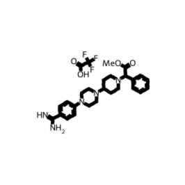 COC(=O)C(c1ccccc1)N1CCC(N2CCN(c3ccc(C(=N)N)cc3)CC2)CC1.O=C(O)C(F)(F)F